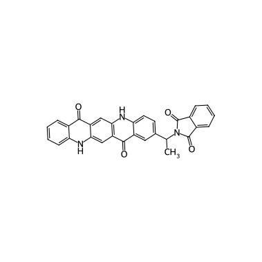 CC(c1ccc2[nH]c3cc4c(=O)c5ccccc5[nH]c4cc3c(=O)c2c1)N1C(=O)c2ccccc2C1=O